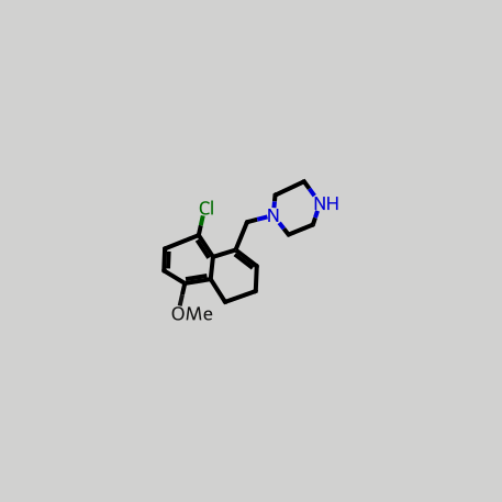 COc1ccc(Cl)c2c1CCC=C2CN1CCNCC1